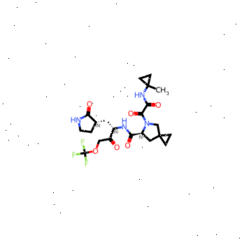 CC1(NC(=O)C(=O)N2CC3(CC3)C[C@H]2C(=O)N[C@@H](C[C@@H]2CCNC2=O)C(=O)COC(F)(F)F)CC1